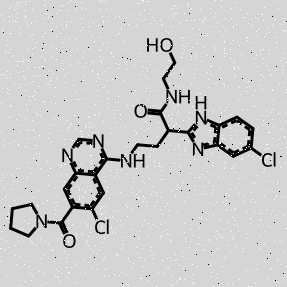 O=C(NCCO)C(CCNc1ncnc2cc(C(=O)N3CCCC3)c(Cl)cc12)c1nc2cc(Cl)ccc2[nH]1